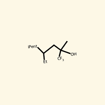 CCCC(C)C(CC)CC(C)(O)C(F)(F)F